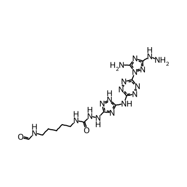 NNc1nc(N)n(-c2nnc(Nc3nc(NNC(=O)NCCCCCNC=O)n[nH]3)nn2)n1